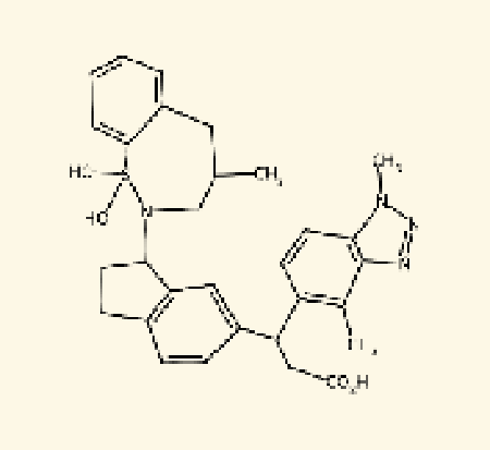 Cc1c(C(CC(=O)O)c2ccc3c(c2)C(N2CC(C)Cc4ccccc4S2(O)O)CC3)ccc2c1nnn2C